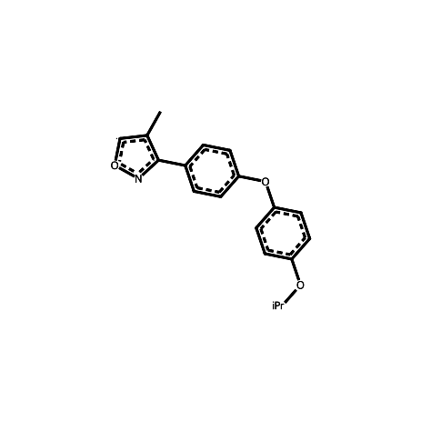 Cc1[c]onc1-c1ccc(Oc2ccc(OC(C)C)cc2)cc1